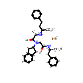 Br.CCOC(=O)C(CCc1ccccc1)N[C@@H](C)C(=O)N(CC(=O)N[C@@H](Cc1ccccc1)C(=O)O)C1Cc2ccccc2C1